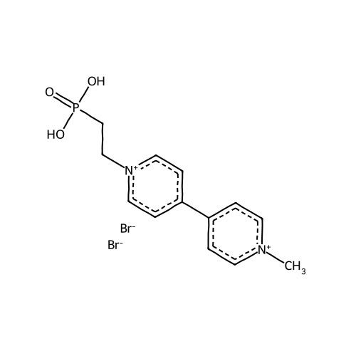 C[n+]1ccc(-c2cc[n+](CCP(=O)(O)O)cc2)cc1.[Br-].[Br-]